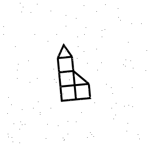 C1C2CC3C24C1C1C2CC2C134